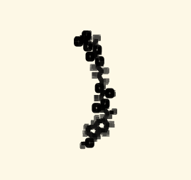 COc1ccc2cc([C@H](C)C(=O)OCC(=O)OCCCCOC(=O)OC(C)O[N+](=O)[O-])ccc2c1